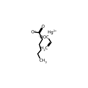 C=CC(=O)[O-].CCCCCC(=O)[O-].[Hg+2]